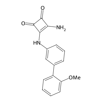 COc1ccccc1-c1cccc(Nc2c(N)c(=O)c2=O)c1